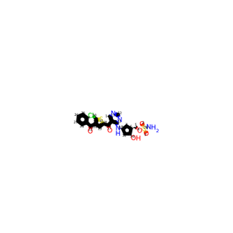 NS(=O)(=O)OC[C@H]1C[C@@H](Nc2ncncc2C(=O)c2cc(C(=O)c3ccccc3)c(Cl)s2)C[C@@H]1O